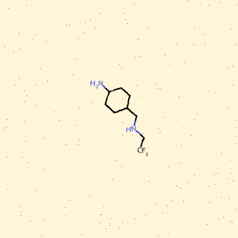 NC1CCC(CNCC(F)(F)F)CC1